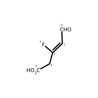 O=C/C=C(\F)CC(=O)O